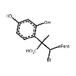 CCCCCC(CC)C(C)(C(=O)O)c1ccc(O)cc1O